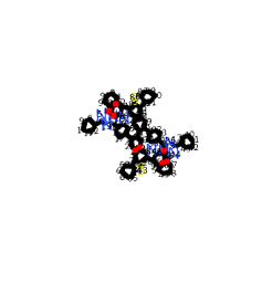 c1ccc(-c2nc(-c3ccccc3)nc(-c3ccc(-c4ccccc4-c4ccccc4-c4ccc(-c5nc(-c6ccccc6)nc(-c6ccccc6)n5)c(-n5c6ccccc6c6c7sc8ccccc8c7ccc65)c4)cc3-n3c4ccccc4c4c5sc6ccccc6c5ccc43)n2)cc1